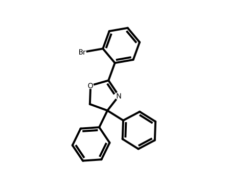 Brc1ccccc1C1=NC(c2ccccc2)(c2ccccc2)CO1